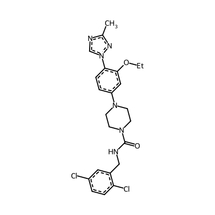 CCOc1cc(N2CCN(C(=O)NCc3cc(Cl)ccc3Cl)CC2)ccc1-n1cnc(C)n1